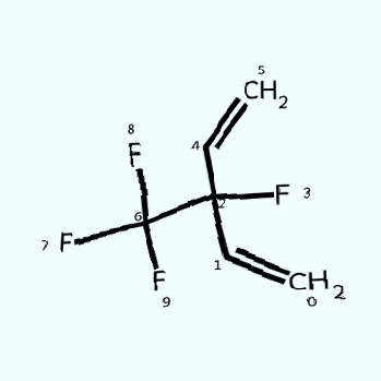 C=CC(F)(C=C)C(F)(F)F